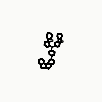 c1ccc2c(c1)ccc1ccc3ccc(-c4ccc(N(c5ccc6sc7ccccc7c6c5)c5cccc6c5sc5ccccc56)cc4)cc3c12